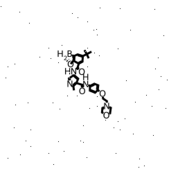 Bc1cc(C(C)(C)C)cc(C(=O)Nc2cnc(C)c(C(=O)Nc3ccc(OCCN4CCOCC4)cc3)c2)c1OC